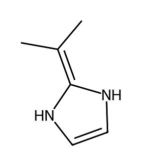 CC(C)=C1NC=CN1